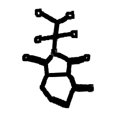 O=C1C2CC=CC(=S)C2C(=O)N1C(Cl)(Cl)C(Cl)Cl